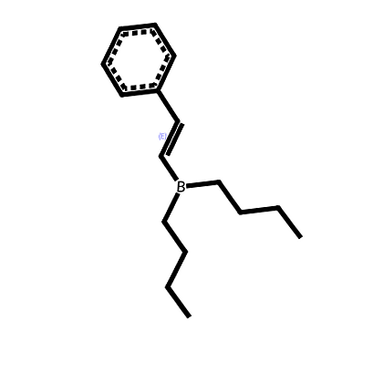 CCCCB(/C=C/c1ccccc1)CCCC